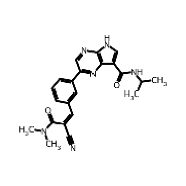 CC(C)NC(=O)c1c[nH]c2ncc(-c3cccc(C=C(C#N)C(=O)N(C)C)c3)nc12